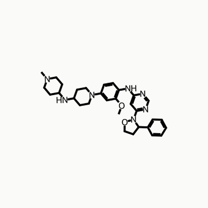 COc1cc(N2CCC(NC3CCN(C)CC3)CC2)ccc1Nc1cc(N2OCCC2c2ccccc2)ncn1